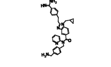 N=C(N)c1ccc(CCc2nc3cc(C(=O)N(Cc4ccc(CN)cc4)c4ccccn4)ccc3n2CC2CC2)cc1